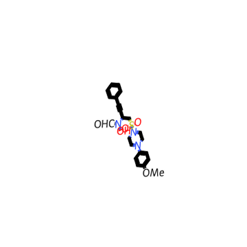 COc1ccc(N2CCN(S(=O)(=O)CC(C#Cc3ccccc3)N(O)C=O)CC2)cc1